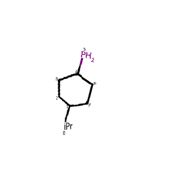 CC(C)C1CCC(P)CC1